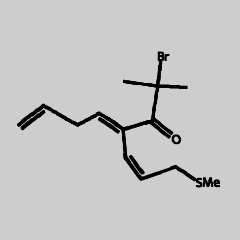 C=CC/C=C(\C=C/CSC)C(=O)C(C)(C)Br